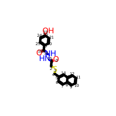 O=C(CSCc1ccc2ccccc2c1)NNC(=O)c1ccc(O)cc1